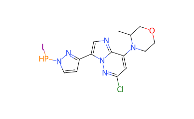 CC1COCCN1c1cc(Cl)nn2c(-c3ccn(PI)n3)cnc12